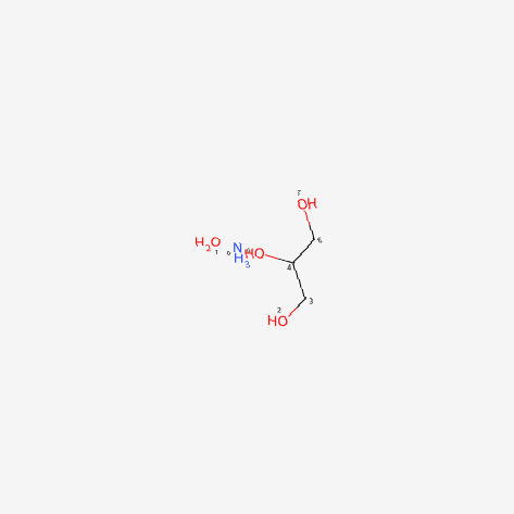 N.O.OCC(O)CO